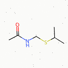 CC(=O)N[CH]SC(C)C